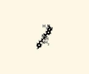 Cc1ccc(C[C@H](N)CNc2ncc(-c3ccc4cnc(N)cc4c3)s2)cc1